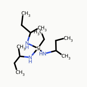 CCC(C)N[Si](CC)(NC(C)CC)NC(C)CC